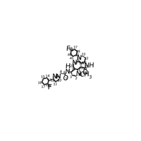 CN1C=CC(NC(=O)Cn2ccc(-c3ccccc3F)n2)=c2cnc3c4c([nH]c(=O)c-4c21)=CCN3c1ccc(F)cc1